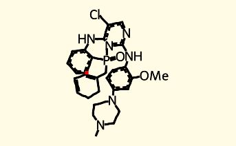 COc1cc(N2CCN(C)CC2)ccc1Nc1ncc(Cl)c(Nc2ccccc2P(C)(=O)CC2=CC=CCC2)n1